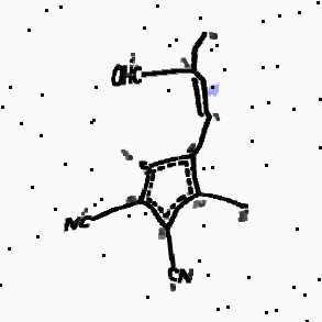 C/C(C=O)=C/c1sc(C#N)c(C#N)c1C